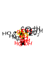 O=C(O)CSOC(SCC(=O)O)(SCC(=O)O)C(CO)(CO)C(OSCC(=O)O)(SCC(=O)O)SCC(=O)O.OCC(CO)(CO)CO